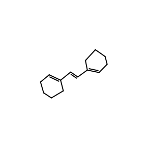 C1=C(/C=C/C2=CCCCC2)CCCC1